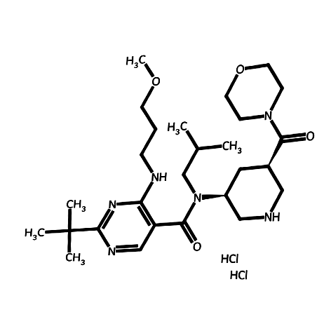 COCCCNc1nc(C(C)(C)C)ncc1C(=O)N(CC(C)C)[C@@H]1CNC[C@H](C(=O)N2CCOCC2)C1.Cl.Cl